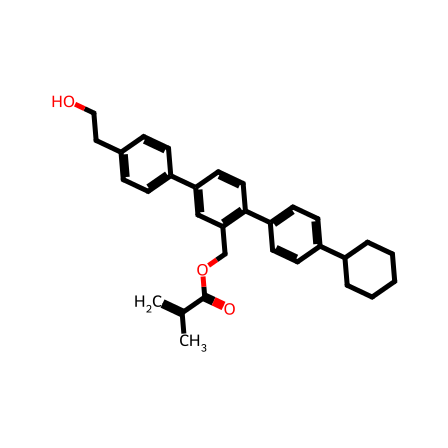 C=C(C)C(=O)OCc1cc(-c2ccc(CCO)cc2)ccc1-c1ccc(C2CCCCC2)cc1